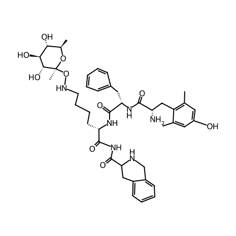 Cc1cc(O)cc(C)c1C[C@H](N)C(=O)N[C@@H](Cc1ccccc1)C(=O)N[C@@H](CCCCNO[C@]1(C)O[C@H](C)[C@@H](O)[C@H](O)[C@H]1O)C(=O)NC(=O)C1Cc2ccccc2CN1